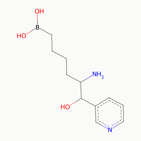 NC(CCCCB(O)O)C(O)c1cccnc1